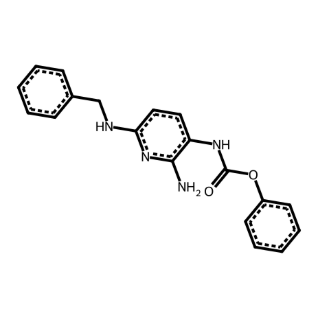 Nc1nc(NCc2ccccc2)ccc1NC(=O)Oc1ccccc1